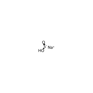 O=[S-]O.[Na+]